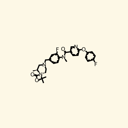 C[C@H]1CN(Cc2ccc(N(C)C(=O)c3ccc(Oc4ccc(F)cc4)nc3)c(F)c2)CC[N+]1(C(=O)[O-])C(C)(C)C